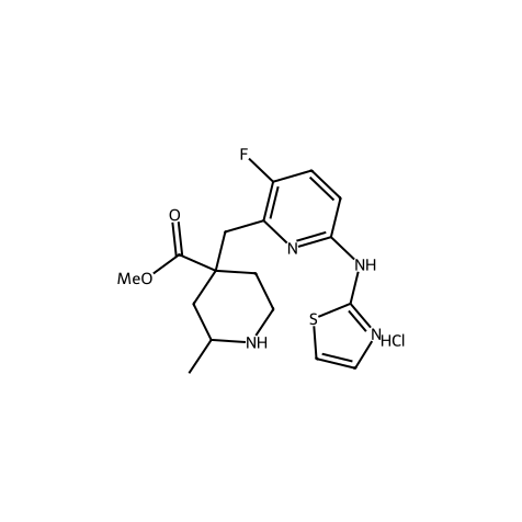 COC(=O)C1(Cc2nc(Nc3nccs3)ccc2F)CCNC(C)C1.Cl